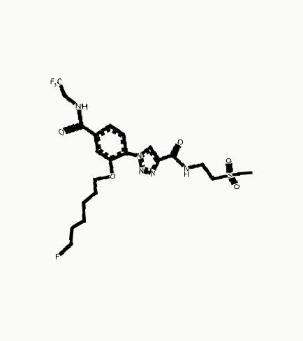 CS(=O)(=O)CCNC(=O)c1cn(-c2ccc(C(=O)NCC(F)(F)F)cc2OCCCCCCF)nn1